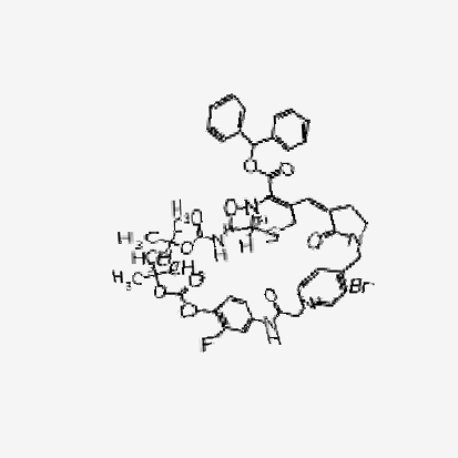 CC(C)(C)OC(=O)N[C@@H]1ON2C(C(=O)OC(c3ccccc3)c3ccccc3)=C(C=C3CCN(Cc4cc[n+](CC(=O)Nc5ccc(OC(=O)OC(C)(C)C)c(F)c5)cc4)C3=O)CS[C@H]12.[Br-]